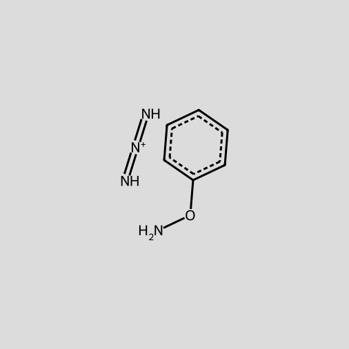 N=[N+]=N.NOc1ccccc1